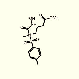 COC(=O)CCC[N+](C)(C(=O)NO)S(=O)(=O)c1ccc(C)cc1